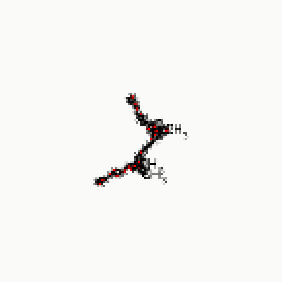 Cc1ccc(N(c2ccc(/C=C/C=C/C=C/c3ccc(N(c4ccc(/C=C/C5C=CC(/C=C/C=C/c6ccccc6)=CC5)cc4)c4ccc(C)cc4C)cc3)cc2)c2ccc(/C=C/c3ccc(CC/C=C/c4ccccc4)cc3)cc2)c(C)c1